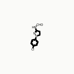 O=CNC1=NN(c2ccc(Cl)cc2)CC1